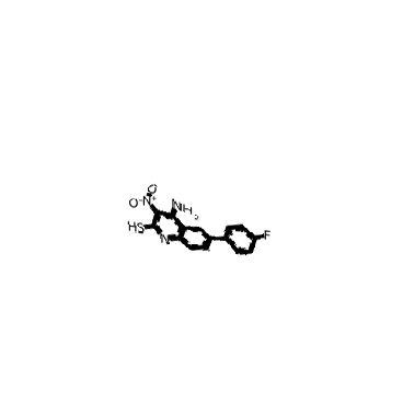 Nc1c([N+](=O)[O-])c(S)nc2ccc(-c3ccc(F)cc3)cc12